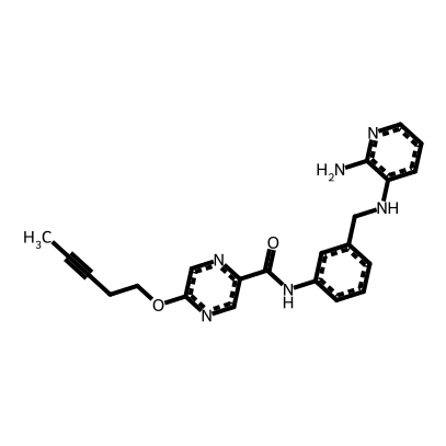 CC#CCCOc1cnc(C(=O)Nc2cccc(CNc3cccnc3N)c2)cn1